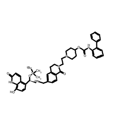 CC(C)(C)[Si](C)(C)O[C@@H](CNCc1ccc2c(c1)CCN(CCN1CCC(OC(=O)Nc3ccccc3-c3ccccc3)CC1)C2=O)c1ccc(O)c2[nH]c(=O)ccc12